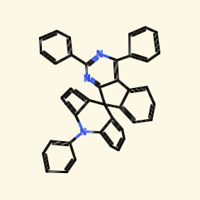 c1ccc(-c2nc(-c3ccccc3)c3c(n2)C2(c4ccccc4-3)c3ccccc3N(c3ccccc3)c3ccccc32)cc1